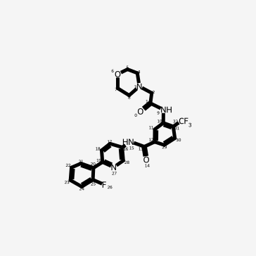 O=C(CN1CCOCC1)Nc1cc(C(=O)Nc2ccc(-c3ccccc3F)nc2)ccc1C(F)(F)F